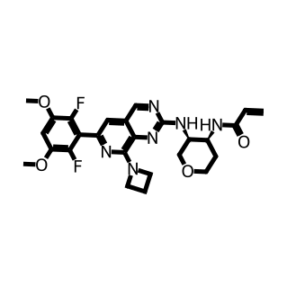 C=CC(=O)N[C@H]1CCOC[C@H]1Nc1ncc2cc(-c3c(F)c(OC)cc(OC)c3F)nc(N3CCC3)c2n1